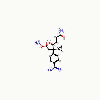 N=C(N)c1ccc(C(CC(=O)ON)(C(=O)CCC(N)=O)C2CC2)cc1